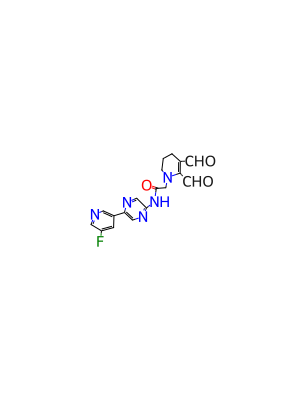 O=CC1=C(C=O)N(CC(=O)Nc2cnc(-c3cncc(F)c3)cn2)CCC1